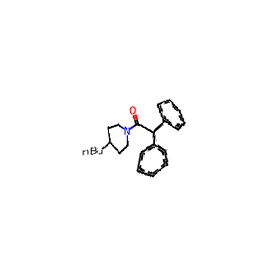 [CH2]CCCC1CCN(C(=O)C(c2ccccc2)c2ccccc2)CC1